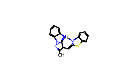 CCN1/C(=C\C2C(C)=Nn3c2nc2ccccc23)Sc2ccccc21